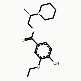 CCOc1cc(C(=O)OC[C@H](C)N2CCCCC2)ccc1O